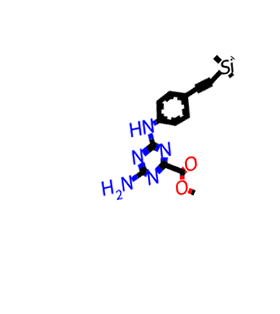 COC(=O)c1nc(N)nc(Nc2ccc(C#C[Si](C)(C)C)cc2)n1